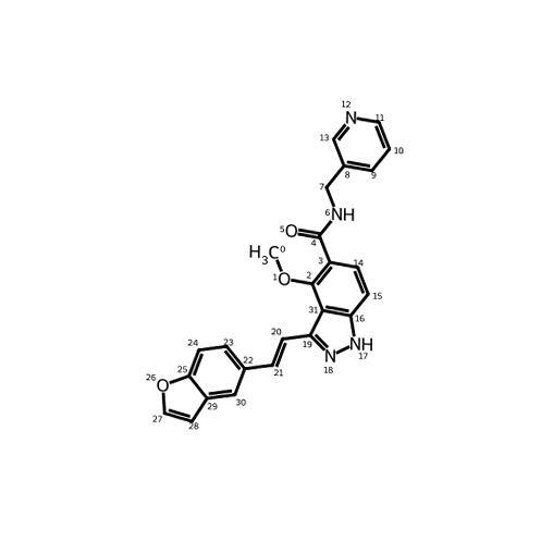 COc1c(C(=O)NCc2cccnc2)ccc2[nH]nc(/C=C/c3ccc4occc4c3)c12